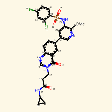 COc1ncc(-c2ccc3ncn(CCC(=O)NC4CC4)c(=O)c3c2)cc1NS(=O)(=O)c1ccc(F)cc1Cl